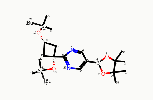 CC1(C)OB(c2cnc([C@]3(O[Si](C)(C)C(C)(C)C)C[C@@H](O[Si](C)(C)C(C)(C)C)C3)nc2)OC1(C)C